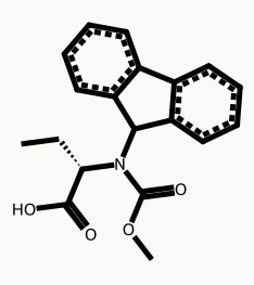 CC[C@@H](C(=O)O)N(C(=O)OC)C1c2ccccc2-c2ccccc21